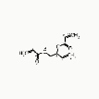 C=CC(=O)OCC(C=C)OC(=O)C=C